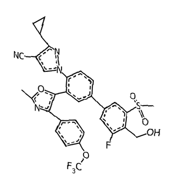 Cc1nc(-c2ccc(OC(F)(F)F)cc2)c(-c2cc(-c3cc(F)c(CO)c(S(C)(=O)=O)c3)ccc2-n2cc(C#N)c(C3CC3)n2)o1